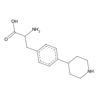 NC(Cc1ccc(C2CCNCC2)cc1)C(=O)O